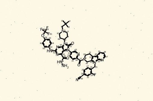 CC(C)(C)CN1CCC(n2c(=O)n(-c3ccc(C(=O)N4CCc5c(n(Cc6ccc(C#N)cc6F)c6ncccc56)C4)nc3)c3c(C(=O)NN)nc(Nc4ccc(OC(F)(F)F)cc4)nc32)CC1